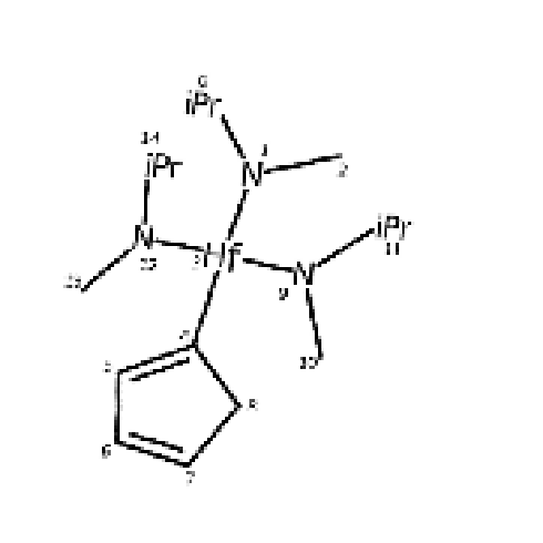 CC(C)[N](C)[Hf]([C]1=CC=CC1)([N](C)C(C)C)[N](C)C(C)C